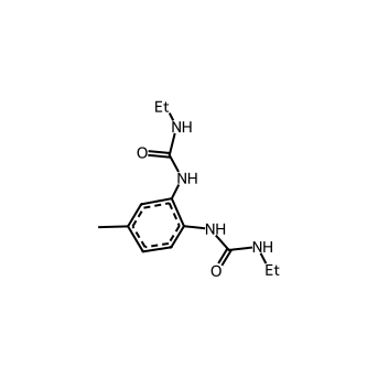 CCNC(=O)Nc1ccc(C)cc1NC(=O)NCC